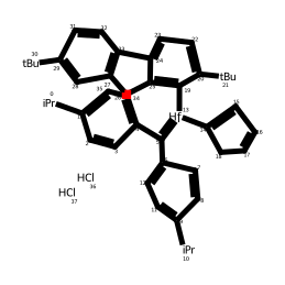 CC(C)c1ccc([C](c2ccc(C(C)C)cc2)=[Hf]([C]2=CC=CC2)[c]2c(C(C)(C)C)ccc3c2Cc2cc(C(C)(C)C)ccc2-3)cc1.Cl.Cl